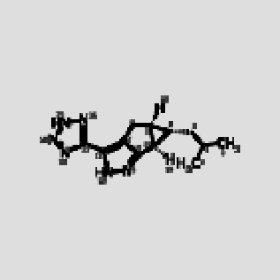 CC(C)C[C@H]1[C@@H]2Cc3c(n[nH]c3-c3nn[nH]n3)[C@@H]21